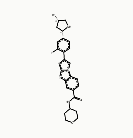 O=C(NC1CCOCC1)c1ccc2c(c1)sc1nc(-c3ccc([C@@H]4C[C@H](O)CN4)cc3F)cn12